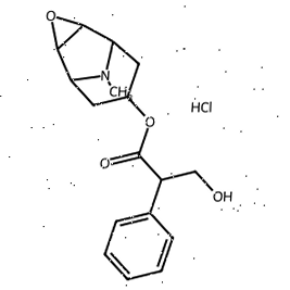 CN1C2CC(OC(=O)C(CO)c3ccccc3)CC1C1OC12.Cl